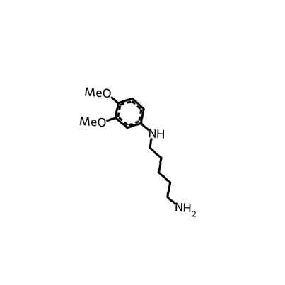 COc1ccc(NCCCCCN)cc1OC